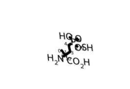 C[C@](N)(CCP(=O)(O)OS)C(=O)O